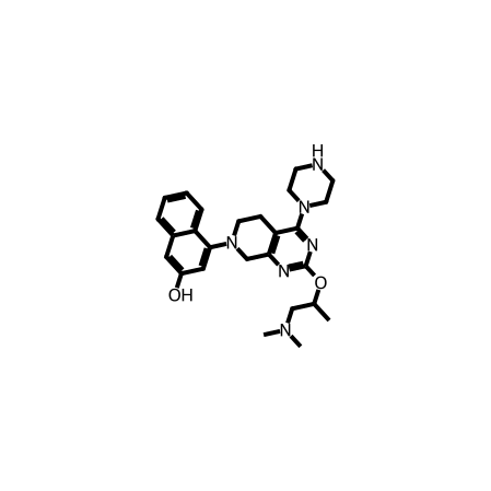 CC(CN(C)C)Oc1nc2c(c(N3CCNCC3)n1)CCN(c1cc(O)cc3ccccc13)C2